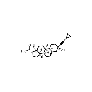 CC(=O)[C@H]1CC[C@H]2[C@@H]3CC=C4C[C@@](O)(C#CC5CC5)CC[C@@H]4[C@H]3CC[C@]12C